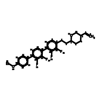 C=CC1CCC(CCc2ccc(-c3ccc(-c4ccc(OCC)cc4)c(F)c3F)c(F)c2F)OC1